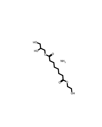 N.O=C(CCCCCCC(=O)OCC(O)CO)OCCO